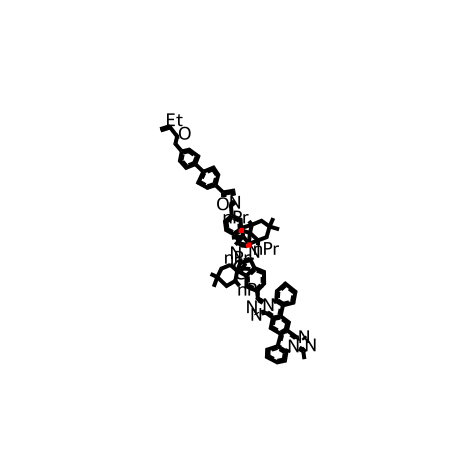 C=C(CC)C(=O)Cc1ccc(-c2ccc(-c3cnc(-c4ccc5c(c4)C4(c6nc7c(nc6-5)C5(c6cc(-c8nnc9c%10cc%11c%12ccccc%12n%12c(C)nnc%12c%11cc%10c%10ccccc%10n89)ccc6-7)C6(CCC)CC(C)(C)CC5(CCC)CC(C)(C)C6)C5(CCC)CC(C)(C)CC4(CCC)CC(C)(C)C5)o3)cc2)cc1